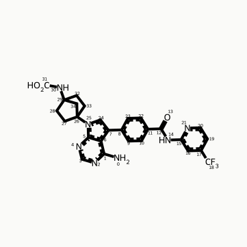 Nc1ncnc2c1c(-c1ccc(C(=O)Nc3cc(C(F)(F)F)ccn3)cc1)cn2C12CCC(NC(=O)O)(CC1)C2